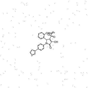 COc1ccccc1C1C(S(=O)(=O)C(C)C)=C(O)C(=O)N1c1ccc(-c2ccsc2)cc1